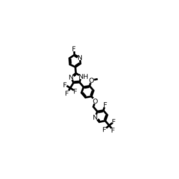 COc1cc(OCc2ncc(C(F)(F)F)cc2F)ccc1-c1[nH]c(-c2ccc(F)nc2)nc1C(F)(F)F